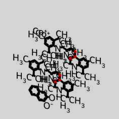 Cc1cc(C(C)C)c(NC(C)c2cccc(C(C)Nc3c(C(C)C)cc(C)cc3C(C)C)n2)c(C(C)C)c1.Cc1cc(C(C)C)c(NC(C)c2cccc(C(C)Nc3c(C(C)C)cc(C)cc3C(C)C)n2)c(C(C)C)c1.[Co+].[Co+].[O-]c1cc2ccccc2cc1[O-]